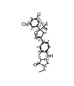 CCN1CN(Bc2ccc(C3=NOC(c4cc(Cl)cc(Cl)c4)(C(F)(F)F)C3)cc2C)CC1=O